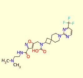 CN(C)CCNC(=O)c1cc(CN(C(=O)O)C2CC3(CCN(c4nccc(C(F)(F)F)n4)CC3)C2)on1